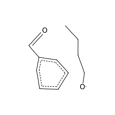 CCCC[O].O=Cc1ccccc1